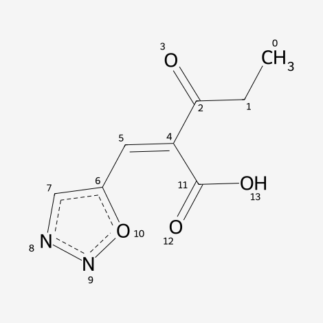 CCC(=O)C(=Cc1cnno1)C(=O)O